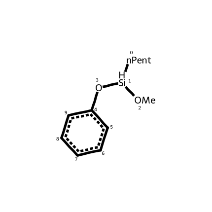 CCCCC[SiH](OC)Oc1ccccc1